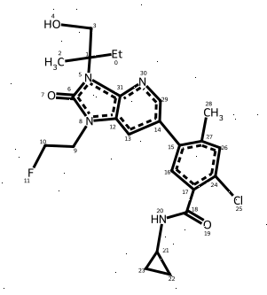 CCC(C)(CO)n1c(=O)n(CCF)c2cc(-c3cc(C(=O)NC4CC4)c(Cl)cc3C)cnc21